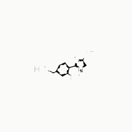 Cn1cc(C(F)(F)F)nc1-c1ccc(CN)cc1F